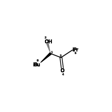 CC[C@H](C)[C@H](O)C(=O)C(C)C